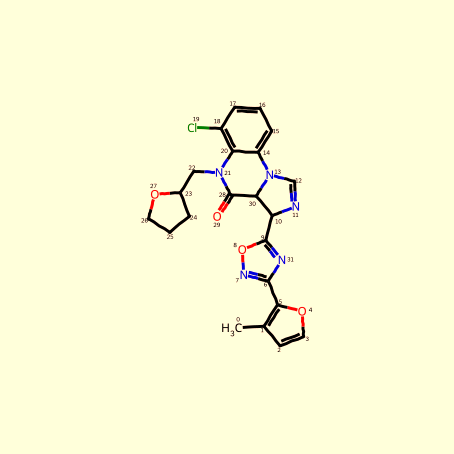 Cc1ccoc1-c1noc(C2N=CN3c4cccc(Cl)c4N(CC4CCCO4)C(=O)C23)n1